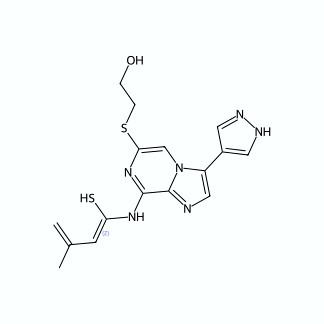 C=C(C)/C=C(\S)Nc1nc(SCCO)cn2c(-c3cn[nH]c3)cnc12